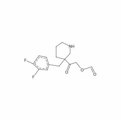 O=COCC(=O)C1(Cc2ccc(F)c(F)c2)CCCNC1